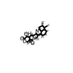 CC1C(F)CC2N=C3C4=CC5[C@@H](O)C(=O)OCC5(C)C(=O)N4CC3=C3CCCC1C32